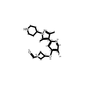 Cc1nn(C2CCNCC2)c(C)c1-c1cc(OC2CN(C=O)C2)c(F)cn1